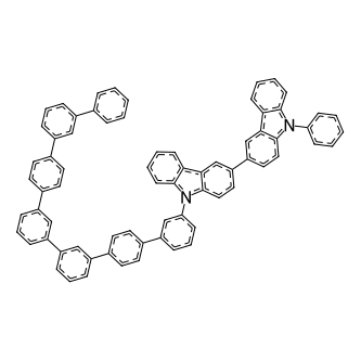 c1ccc(-c2cccc(-c3ccc(-c4cccc(-c5cccc(-c6ccc(-c7cccc(-n8c9ccccc9c9cc(-c%10ccc%11c(c%10)c%10ccccc%10n%11-c%10ccccc%10)ccc98)c7)cc6)c5)c4)cc3)c2)cc1